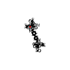 CC(=O)OCC(C)(C)[C@](CC(=O)c1ccc(-c2ccc(C(=O)C[C@@](NC(=O)OC(C)(C)C)(C(=O)O)C(C)(C)COC(C)=O)cc2)cc1)(NC(=O)OC(C)(C)C)C(=O)O